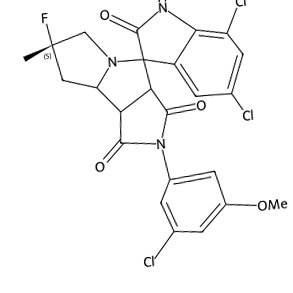 COc1cc(Cl)cc(N2C(=O)C3C4C[C@](C)(F)CN4C4(C(=O)Nc5c(Cl)cc(Cl)cc54)C3C2=O)c1